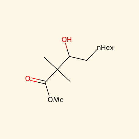 CCCCCCCC(O)C(C)(C)C(=O)OC